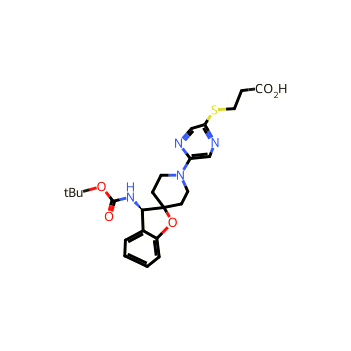 CC(C)(C)OC(=O)N[C@@H]1c2ccccc2OC12CCN(c1cnc(SCCC(=O)O)cn1)CC2